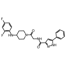 O=C(NCC(=O)N1CCC(Nc2ccc(F)cc2F)CC1)c1cc(-c2ccccc2)[nH]n1